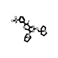 O=S(=O)(F)c1cccc(-c2ncc3c(N4CC5CCC(C4)N5)nc(OCC45CCCN4CCC5)nc3c2F)c1